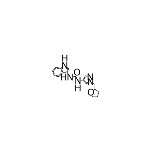 O=C(Nc1cnn(CC2CCCO2)c1)Nc1c[nH]c2ccccc12